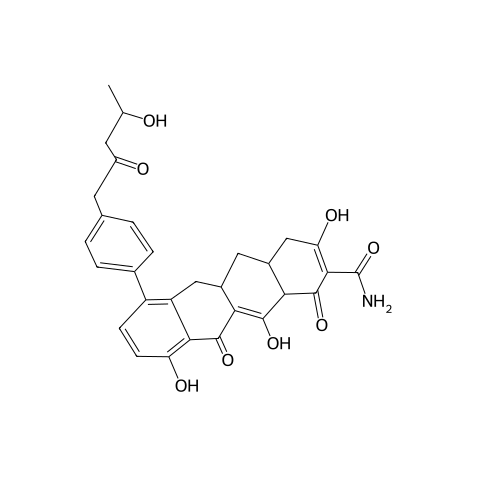 CC(O)CC(=O)Cc1ccc(-c2ccc(O)c3c2CC2CC4CC(O)=C(C(N)=O)C(=O)C4C(O)=C2C3=O)cc1